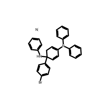 Brc1ccc(C2(Nc3ccccc3)C=CC(N(c3ccccc3)c3ccccc3)=CC2)cc1.[N]